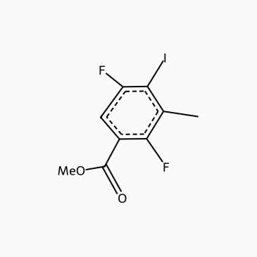 COC(=O)c1cc(F)c(I)c(C)c1F